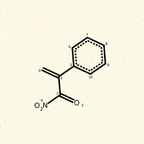 C=C(C(=O)[N+](=O)[O-])c1ccccc1